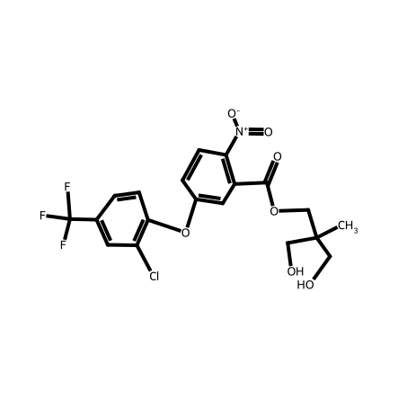 CC(CO)(CO)COC(=O)c1cc(Oc2ccc(C(F)(F)F)cc2Cl)ccc1[N+](=O)[O-]